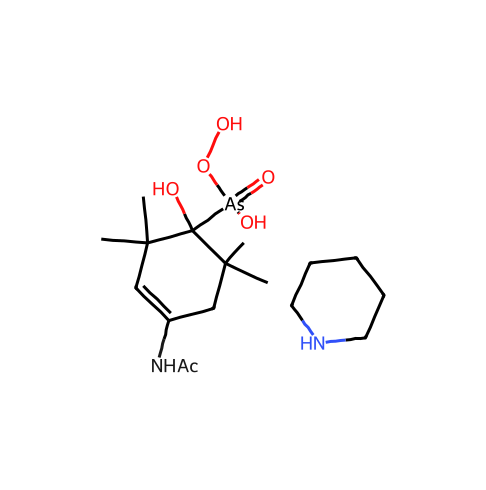 C1CCNCC1.CC(=O)NC1=CC(C)(C)C(O)([As](=O)(O)OO)C(C)(C)C1